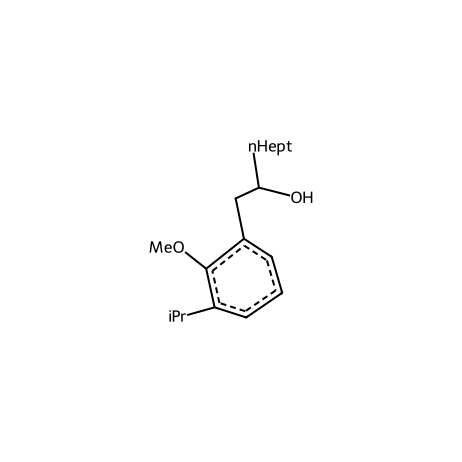 CCCCCCCC(O)Cc1cccc(C(C)C)c1OC